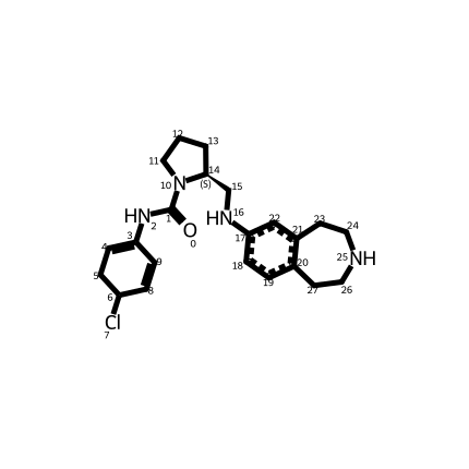 O=C(NC1=CCC(Cl)C=C1)N1CCC[C@H]1CNc1ccc2c(c1)CCNCC2